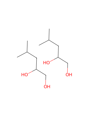 CC(C)CC(O)CO.CC(C)CC(O)CO